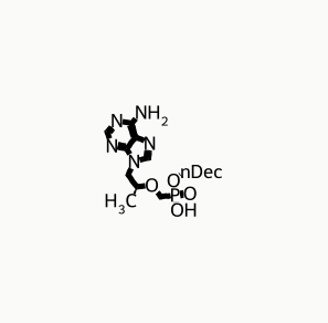 CCCCCCCCCCOP(=O)(O)CO[C@H](C)Cn1cnc2c(N)ncnc21